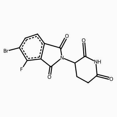 O=C1CCC(N2C(=O)c3ccc(Br)c(F)c3C2=O)C(=O)N1